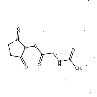 CC(=O)NCC(=O)ON1C(=O)CCC1=O